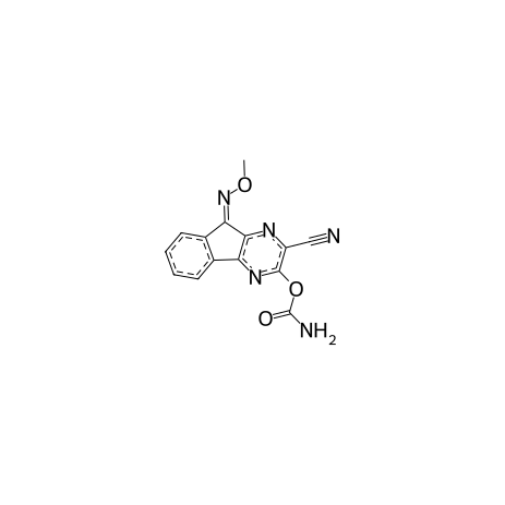 CON=C1c2ccccc2-c2nc(OC(N)=O)c(C#N)nc21